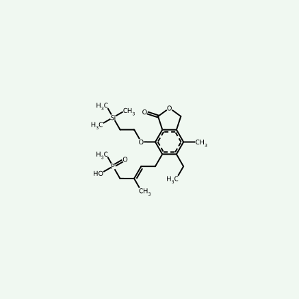 CCc1c(C)c2c(c(OCC[Si](C)(C)C)c1C/C=C(\C)CP(C)(=O)O)C(=O)OC2